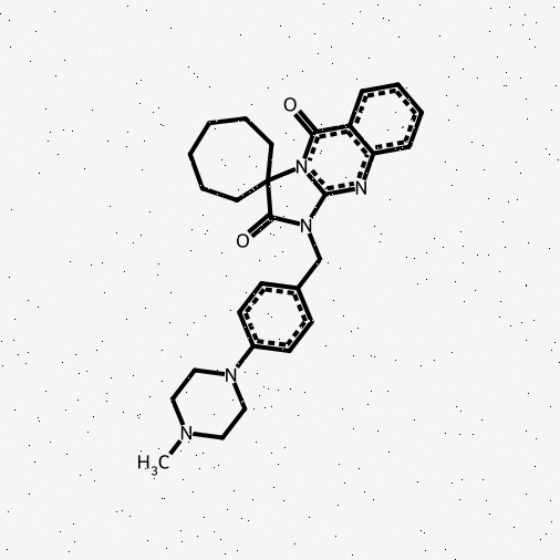 CN1CCN(c2ccc(CN3C(=O)C4(CCCCCC4)n4c3nc3ccccc3c4=O)cc2)CC1